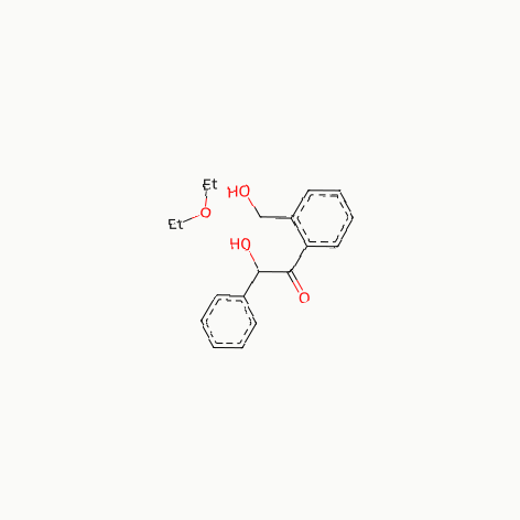 CCOCC.O=C(c1ccccc1CO)C(O)c1ccccc1